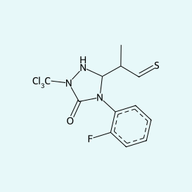 CC(C=S)C1NN(C(Cl)(Cl)Cl)C(=O)N1c1ccccc1F